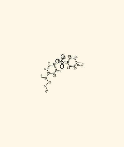 CCCC(C)c1ccc(OS(=O)(=O)c2ccc(C)cc2)cc1